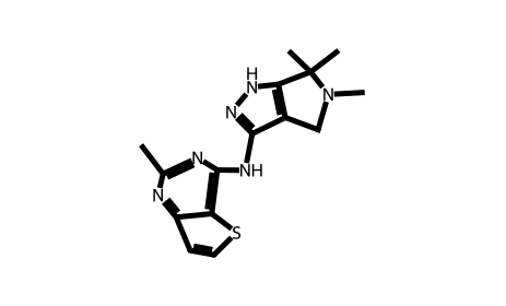 Cc1nc(Nc2n[nH]c3c2CN(C)C3(C)C)c2sccc2n1